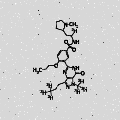 [2H]C(CC1CCCN1C)NS(=O)(=O)c1ccc(OCCC)c(-c2nc3c(CCC([2H])([2H])[2H])nn(C([2H])([2H])[2H])c3c(=O)[nH]2)c1